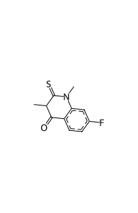 CC1C(=O)c2ccc(F)cc2N(C)C1=S